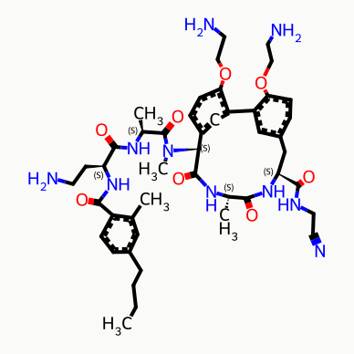 CCCCc1ccc(C(=O)N[C@@H](CCN)C(=O)N[C@@H](C)C(=O)N(C)[C@@H]2C(=O)N[C@@H](C)C(=O)N[C@H](C(=O)NCC#N)Cc3ccc(OCCN)c(c3)-c3cc2ccc3OCCN)c(C)c1